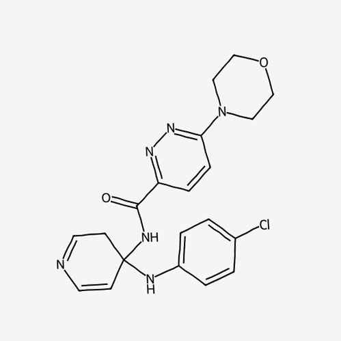 O=C(NC1(Nc2ccc(Cl)cc2)C=CN=CC1)c1ccc(N2CCOCC2)nn1